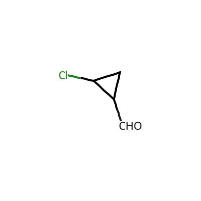 O=CC1CC1Cl